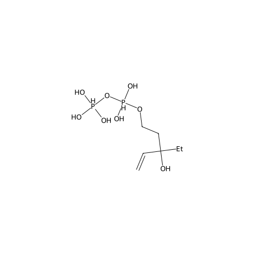 C=CC(O)(CC)CCO[PH](O)(O)O[PH](O)(O)O